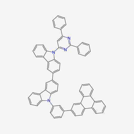 c1ccc(-c2cc(-n3c4ccccc4c4cc(-c5ccc6c(c5)c5ccccc5n6-c5cccc(-c6ccc7c8ccccc8c8ccccc8c7c6)c5)ccc43)nc(-c3ccccc3)n2)cc1